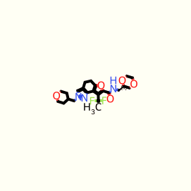 CC(F)(F)c1c(C(=O)NC[C@@H]2COCCO2)oc2c1-c1nn(CC3CCOCC3)cc1CC2